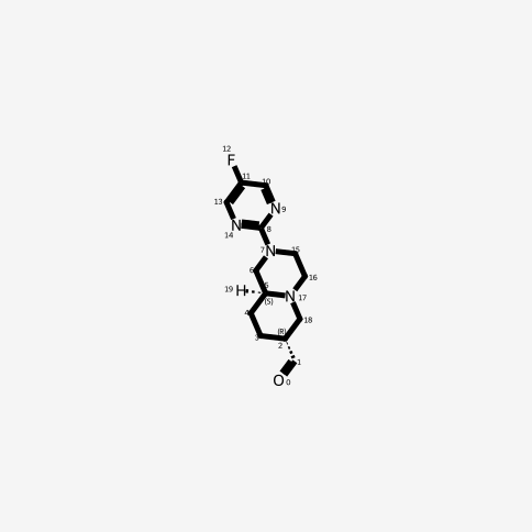 O=C[C@@H]1CC[C@H]2CN(c3ncc(F)cn3)CCN2C1